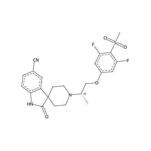 C[C@@H](COc1cc(F)c(S(C)(=O)=O)c(F)c1)N1CCC2(CC1)C(=O)Nc1ccc(C#N)cc12